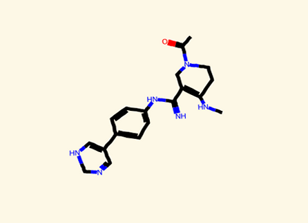 CNC1=C(C(=N)Nc2ccc(C3=CNCN=C3)cc2)CN(C(C)=O)CC1